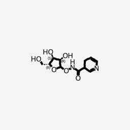 O=C(NOC1O[C@H](CO)[C@@H](O)[C@H]1O)C1C=NC=CC1